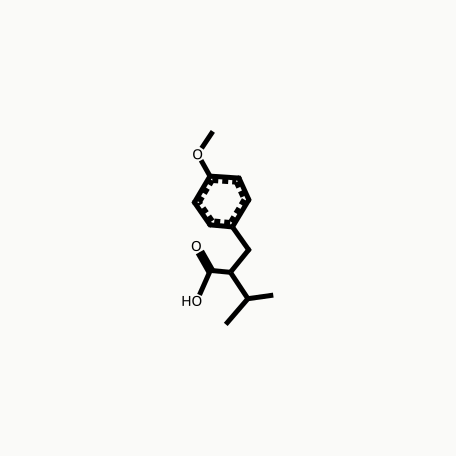 COc1ccc(CC(C(=O)O)C(C)C)cc1